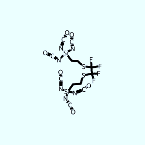 O=C=N[Si](CCSC(F)(F)C(F)(F)SCC[Si](N=C=O)(N=C=O)N=C=O)(N=C=O)N=C=O